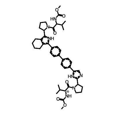 COC(=O)NC(C(=O)N1CCCC1c1[nH]c(-c2ccc(-c3ccc(-c4cnc(C5CCCN5C(=O)[C@@H](NC(=O)OC)C(C)C)[nH]4)cc3)cc2)c2c1CCCC2)C(C)C